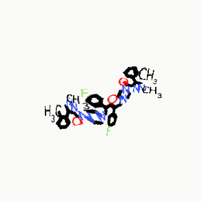 Cc1ccccc1-c1cn(C)nc1C(=O)N1CCN(CC(C(=O)C(CN2CCN(C(=O)c3nn(C)cc3-c3ccccc3C)CC2)c2ccc(F)cc2)c2ccc(F)cc2)CC1